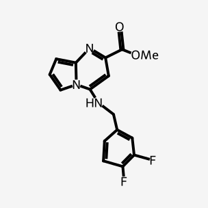 COC(=O)c1cc(NCc2ccc(F)c(F)c2)n2cccc2n1